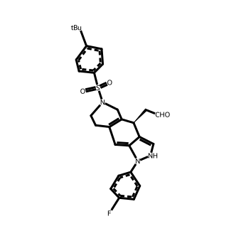 CC(C)(C)c1ccc(S(=O)(=O)N2CCC3=C(C2)[C@@H](CC=O)C2=CNN(c4ccc(F)cc4)C2=C3)cc1